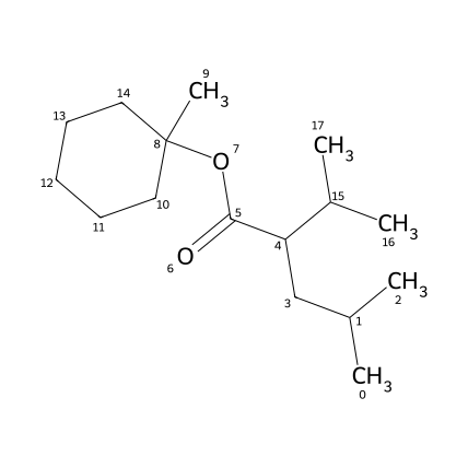 CC(C)CC(C(=O)OC1(C)CCCCC1)C(C)C